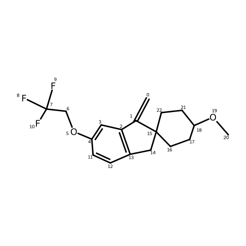 C=C1c2cc(OCC(F)(F)F)ccc2CC12CCC(OC)CC2